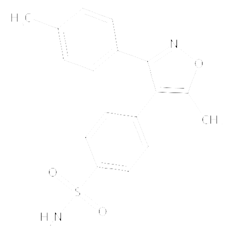 Cc1ccc(-c2noc(C)c2-c2ccc(S(N)(=O)=O)cc2)cc1